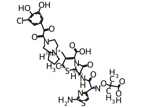 C[C@@H]1S[C@@H]2[C@H](NC(=O)/C(=N\OC(C)(C)C(=O)O)c3csc(N)n3)C(=O)N2C(C(=O)O)=C1C[N@+]12CCC[C@H]1CN(C(=O)C(=O)c1cc(O)c(O)c(Cl)c1)CC2